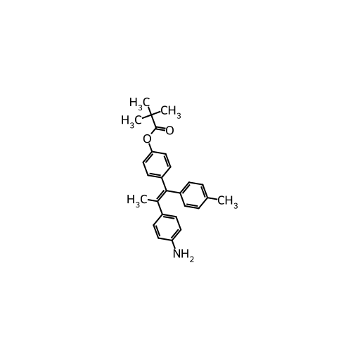 C/C(=C(/c1ccc(C)cc1)c1ccc(OC(=O)C(C)(C)C)cc1)c1ccc(N)cc1